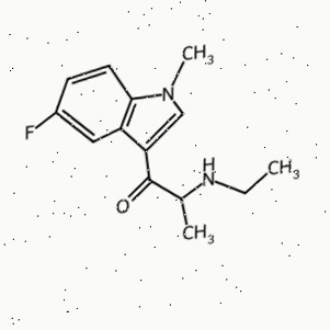 CCNC(C)C(=O)c1cn(C)c2ccc(F)cc12